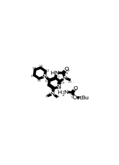 CC(C)(C)OC(N)=O.CN(C)c1cc(N2CCCCC2)c2[nH]c(=O)n(C)c2n1